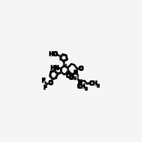 C=CCN(C)CCN1C(=O)CCC2[C@H](c3cccc(O)c3)c3[nH]c4ccc(OC(F)F)cc4c3C[C@@]2(C)C1=O